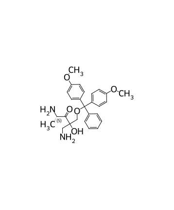 COc1ccc(C(OCC(O)(CN)C(=O)[C@H](C)N)(c2ccccc2)c2ccc(OC)cc2)cc1